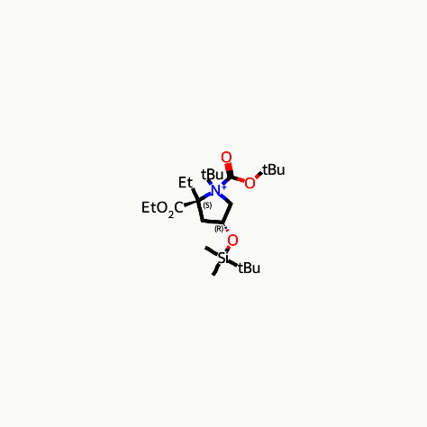 CCOC(=O)[C@]1(CC)C[C@@H](O[Si](C)(C)C(C)(C)C)C[N+]1(C(=O)OC(C)(C)C)C(C)(C)C